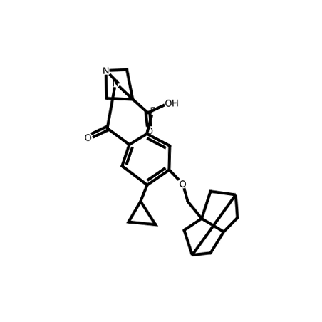 O=C(c1cc(C2CC2)c(OCC23CC4CC2CC4C3)cc1F)N1CN2CC1(C(=O)O)C2